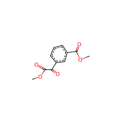 COC(=O)C(=O)c1cccc(C(=O)OC)c1